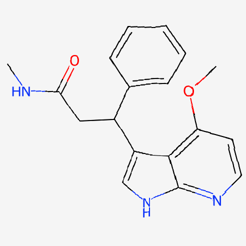 CNC(=O)CC(c1ccccc1)c1c[nH]c2nccc(OC)c12